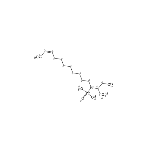 CCCCCCCC/C=C\CCCCCCCCN(C(CO)C(=O)O)P(=O)(O)O